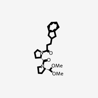 COC(OC)[C@@H]1CCCN1C(=O)[C@@H]1CCCN1C(=O)CCC1Cc2ccccc2C1